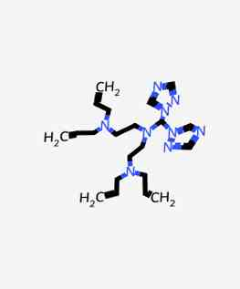 C=CCN(CC=C)CCN(CCN(CC=C)CC=C)C(n1cncn1)n1cncn1